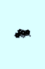 CN(C)C1(c2ccccc2)CCC2(CC1)OCCc1c2sc2ccccc12